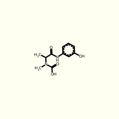 CC(C(=O)Nc1cccc(O)c1)N(C)C(=O)O